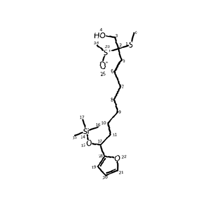 CSC(CO)(CCCCCCCC(O[Si](C)(C)C)c1ccco1)[S+](C)[O-]